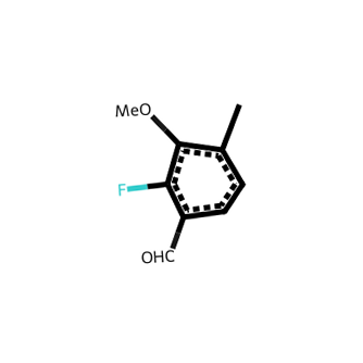 COc1c(C)ccc(C=O)c1F